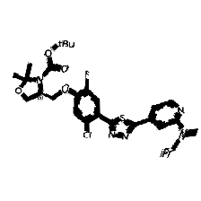 CC(C)N(C)c1cc(-c2nnc(-c3cc(F)c(OC[C@H]4COC(C)(C)N4C(=O)OC(C)(C)C)cc3Cl)s2)ccn1